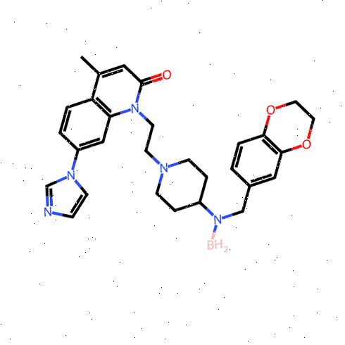 BN(Cc1ccc2c(c1)OCCO2)C1CCN(CCn2c(=O)cc(C)c3ccc(-n4ccnc4)cc32)CC1